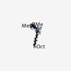 CCCCCCCCC=CCCCCCCCC[N+](C)(C)CCC[Si](OC)(OC)OC.[Cl-]